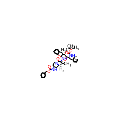 CC(C)[C@H](NC(=O)C(Cc1ccccc1)CC(O)C(Cc1ccccc1)NC(=O)OC(C)(C)C)C(=O)N1CCC(NC(=O)OCc2ccccc2)CC1